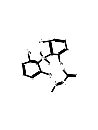 C=C(C)N=NC.CC(C)c1cccc(C(C)C)[c]1[Pd]([CH3])([CH3])[c]1c(C(C)C)cccc1C(C)C